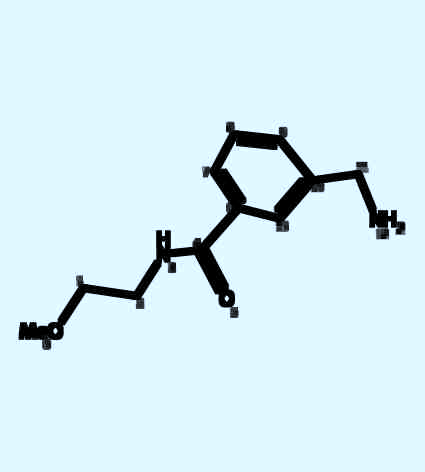 COCCNC(=O)c1cccc(CN)c1